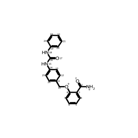 NC(=O)c1ccccc1OCc1ccc(NC(=O)Nc2ccccc2)cc1